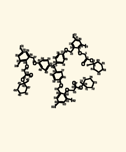 CC1(OC(=O)COc2c(I)cc(I)cc2COc2ccc([S+](c3ccc(OCc4cc(I)cc(I)c4OCC(=O)OC4(C)CCCCC4)cc3)c3ccc(OCc4cc(I)cc(I)c4OCC(=O)OC4(C)CCCCC4)cc3)cc2)CCCCC1